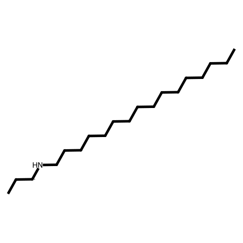 CC[CH]NCCCCCCCCCCCCCCCC